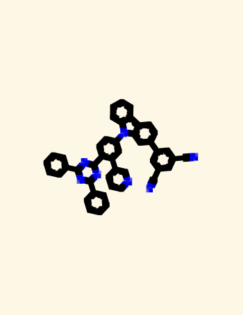 N#Cc1cc(C#N)cc(-c2ccc3c4ccccc4n(-c4ccc(-c5nc(-c6ccccc6)nc(-c6ccccc6)n5)c(-c5cccnc5)c4)c3c2)c1